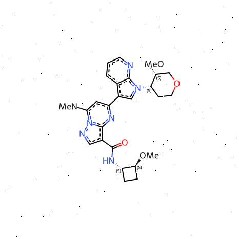 CNc1cc(-c2cn([C@H]3CCOC[C@H]3OC)c3ncccc23)nc2c(C(=O)N[C@H]3CC[C@@H]3OC)cnn12